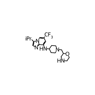 CC(C)c1cnc2c(NC3CCN(CC4CNCCO4)CC3)cc(C(F)(F)F)cn12